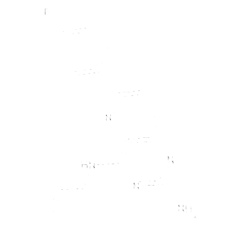 C=CCNc1nc(N)nc2ccc(-c3ccc(F)cc3)nc12